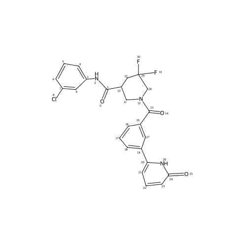 O=C(Nc1cccc(Cl)c1)C1CN(C(=O)c2cccc(-c3cccc(=O)[nH]3)c2)CC(F)(F)C1